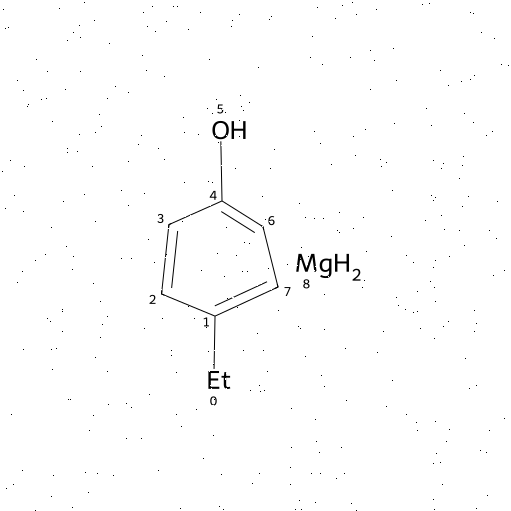 CCc1ccc(O)cc1.[MgH2]